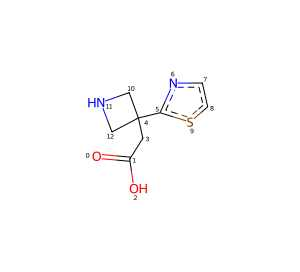 O=C(O)CC1(c2nccs2)CNC1